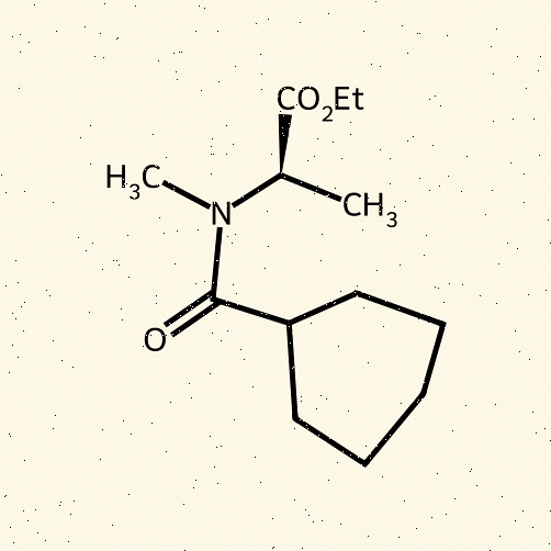 CCOC(=O)[C@@H](C)N(C)C(=O)C1CCCCC1